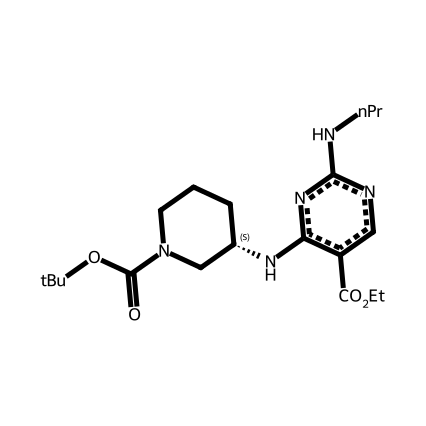 CCCNc1ncc(C(=O)OCC)c(N[C@H]2CCCN(C(=O)OC(C)(C)C)C2)n1